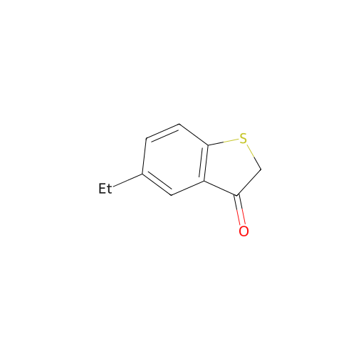 CCc1ccc2c(c1)C(=O)CS2